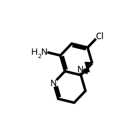 NC1=C2N=CCCC23N=CC=C3C(Cl)=C1